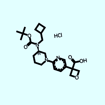 CC(C)(C)OC(=O)N(CC1CCC1)[C@@H]1CCCN(c2ccc(C3(C(=O)O)COC3)cn2)C1.Cl